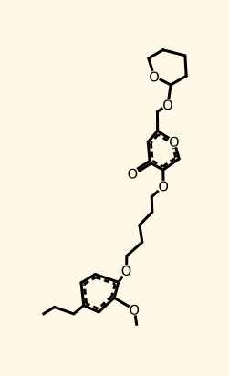 CCCc1ccc(OCCCCCOc2coc(COC3CCCCO3)cc2=O)c(OC)c1